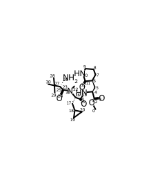 COC(=O)[C@H](C[C@@H]1CCCNC1=O)NC(=O)[C@H](CC1CC1)N(C)C(=O)[C@@H](N)C(C)(C)C